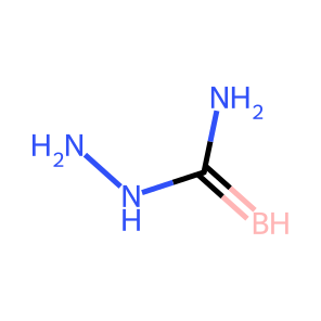 B=C(N)NN